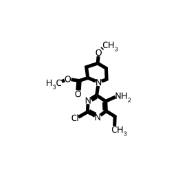 CCc1nc(Cl)nc(N2CCC(OC)CC2C(=O)OC)c1N